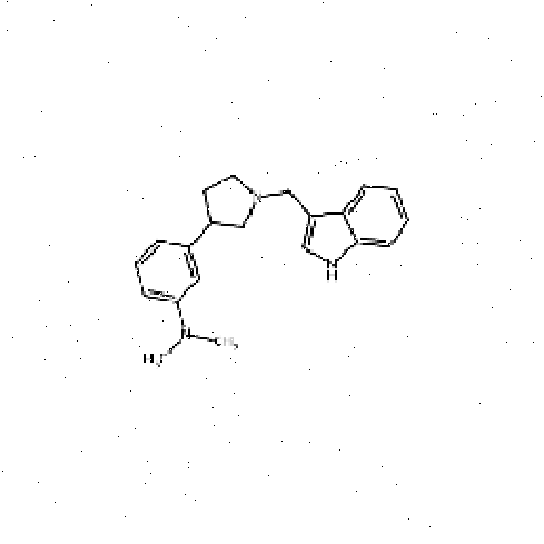 CN(C)c1cccc(C2CCN(Cc3c[nH]c4ccccc34)C2)c1